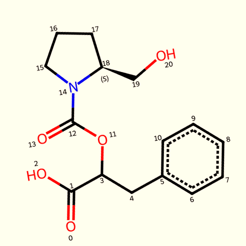 O=C(O)C(Cc1ccccc1)OC(=O)N1CCC[C@H]1CO